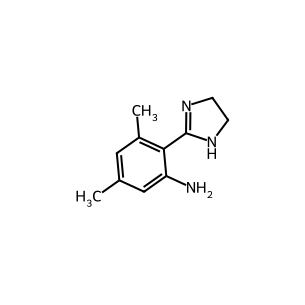 Cc1cc(C)c(C2=NCCN2)c(N)c1